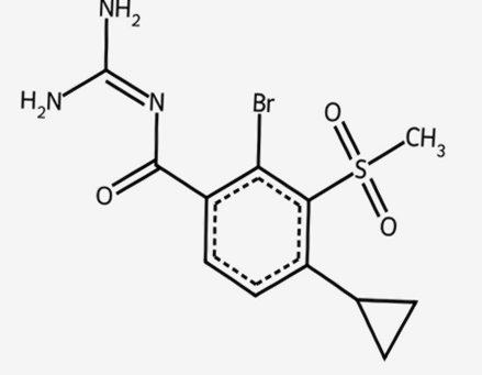 CS(=O)(=O)c1c(C2CC2)ccc(C(=O)N=C(N)N)c1Br